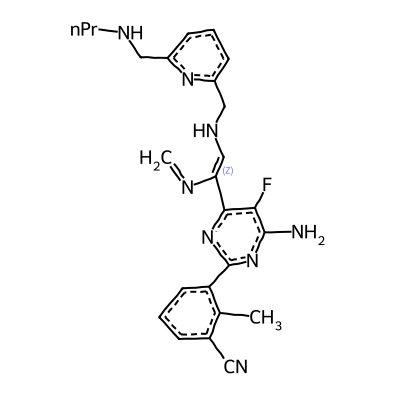 C=N/C(=C\NCc1cccc(CNCCC)n1)c1nc(-c2cccc(C#N)c2C)nc(N)c1F